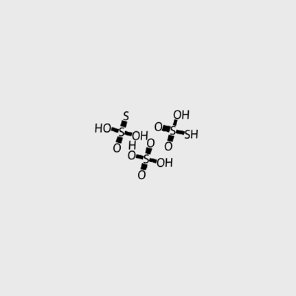 O=S(=O)(O)O.O=S(=O)(O)S.O=S(O)(O)=S